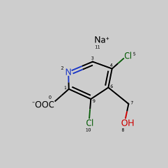 O=C([O-])c1ncc(Cl)c(CO)c1Cl.[Na+]